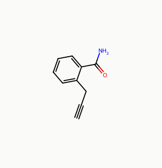 C#CCc1ccccc1C(N)=O